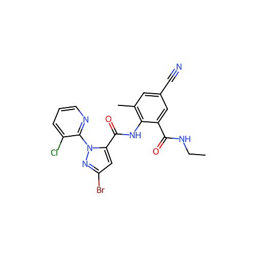 CCNC(=O)c1cc(C#N)cc(C)c1NC(=O)c1cc(Br)nn1-c1ncccc1Cl